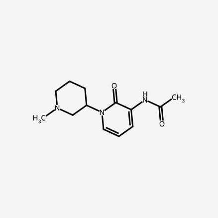 CC(=O)Nc1cccn(C2CCCN(C)C2)c1=O